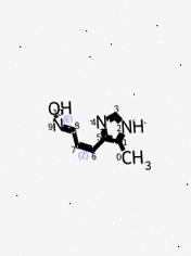 Cc1[nH]cnc1/C=C\C=N\O